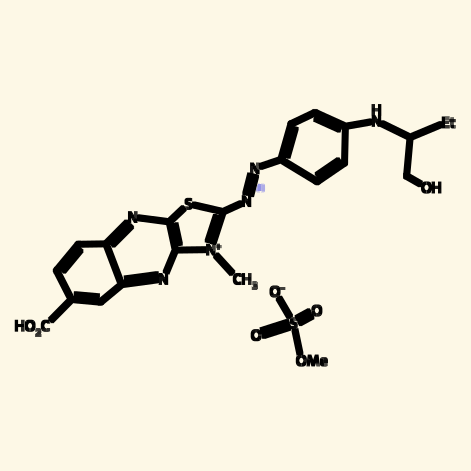 CCC(CO)Nc1ccc(/N=N/c2sc3nc4ccc(C(=O)O)cc4nc3[n+]2C)cc1.COS(=O)(=O)[O-]